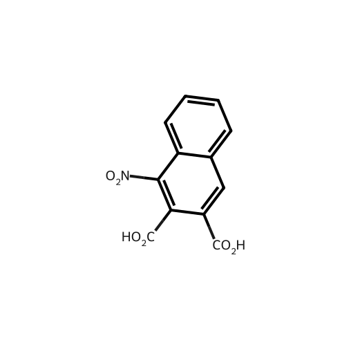 O=C(O)c1cc2ccccc2c([N+](=O)[O-])c1C(=O)O